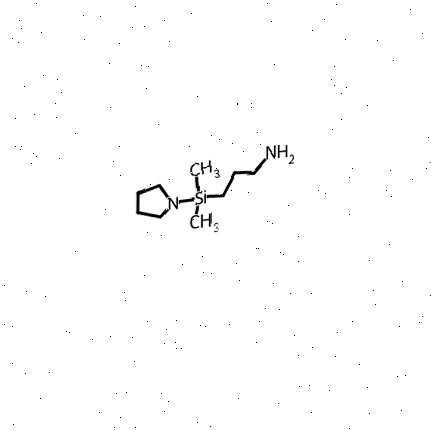 C[Si](C)(CCCN)N1CCCC1